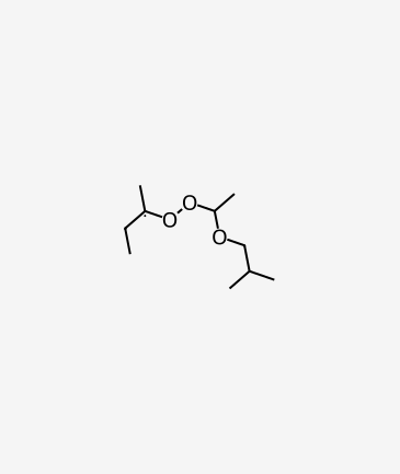 CC[C](C)OOC(C)OCC(C)C